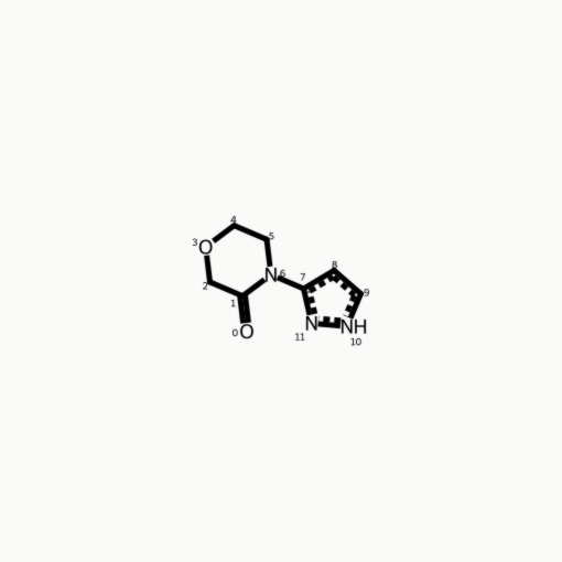 O=C1COCCN1c1cc[nH]n1